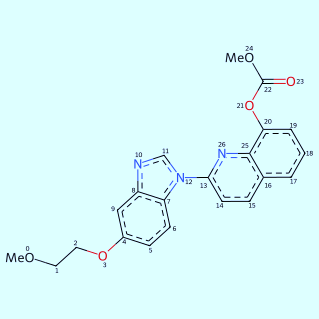 COCCOc1ccc2c(c1)ncn2-c1ccc2cccc(OC(=O)OC)c2n1